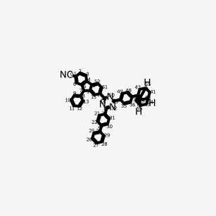 N#Cc1ccc2c(c1)C(c1ccccc1)c1cc(-c3nc(-c4ccc(-c5ccccc5)cc4)nc(-c4ccc(C56C[C@H]7C[C@H](C5)C[C@@H](C6)C7)cc4)n3)ccc1-2